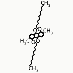 CCCCCCCCCCCC(=O)Oc1c2ccc(C)cc2c(OC(=O)CCCCCCCCCCC)c2ccc(C)cc12